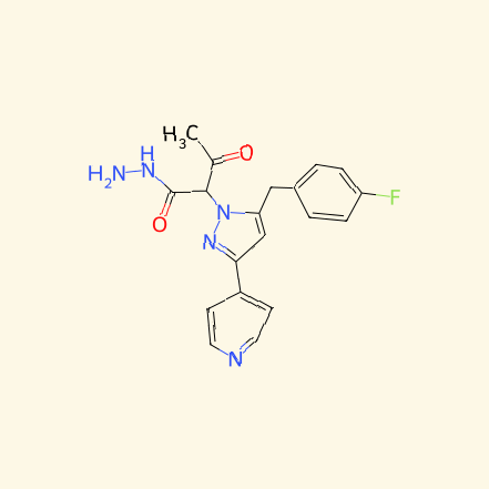 CC(=O)C(C(=O)NN)n1nc(-c2ccncc2)cc1Cc1ccc(F)cc1